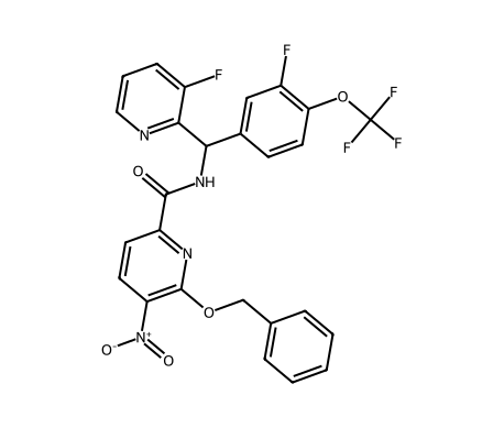 O=C(NC(c1ccc(OC(F)(F)F)c(F)c1)c1ncccc1F)c1ccc([N+](=O)[O-])c(OCc2ccccc2)n1